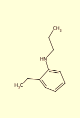 CCCNc1ccccc1CC